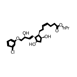 CCCOC(=O)CC/C=C\CC[C@@H]1[C@@H](/C=C/[C@@H](O)COc2cccc(Cl)c2)[C@H](O)C[C@@H]1O